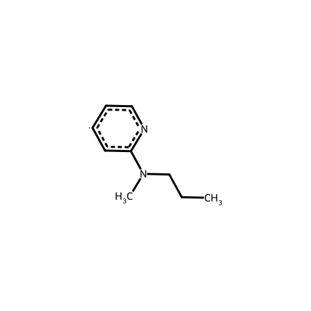 CCCN(C)c1c[c]ccn1